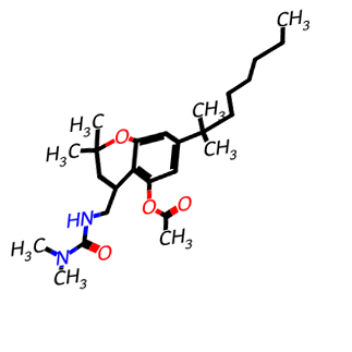 CCCCCCC(C)(C)c1cc(OC(C)=O)c2c(c1)OC(C)(C)CC2CNC(=O)N(C)C